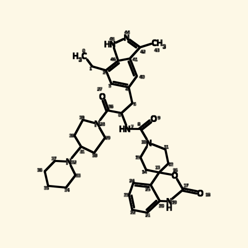 CCc1cc(CC(NC(=O)N2CCC3(CC2)OC(=O)Nc2ccccc23)C(=O)N2CCC(N3CCCCC3)CC2)cc2c(C)n[nH]c12